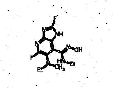 CCNC(=NO)c1c(N(C)CC)c(F)nc2nc(F)[nH]c12